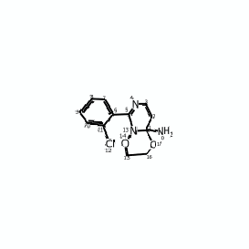 NC12C=CN=C(c3ccccc3Cl)N1OCCO2